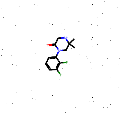 CC1(C)CN(c2cccc(F)c2F)C(=O)CN1